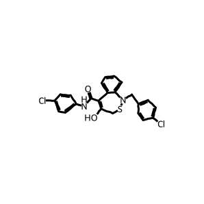 O=C(Nc1ccc(Cl)cc1)C1=C(O)CSN(Cc2ccc(Cl)cc2)c2ccccc21